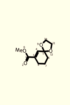 COC(=O)C1=CC2(CCC1)OCCO2